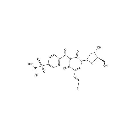 CCCN(CCC)S(=O)(=O)c1ccc(C(=O)n2c(=O)c(/C=C/Br)cn([C@H]3C[C@H](O)[C@@H](CO)O3)c2=O)cc1